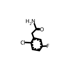 NC(=O)Cc1cc(F)ccc1Cl